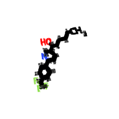 CCCCC[C@H](O)c1ccc(-c2ccc(C(F)(F)F)cc2)nc1